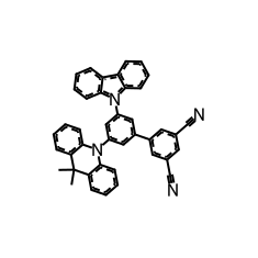 CC1(C)c2ccccc2N(c2cc(-c3cc(C#N)cc(C#N)c3)cc(-n3c4ccccc4c4ccccc43)c2)c2ccccc21